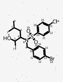 CC(C)CC(C(O)I)N(Cc1ccc(Br)cc1)S(=O)(=O)c1ccc(Cl)cc1